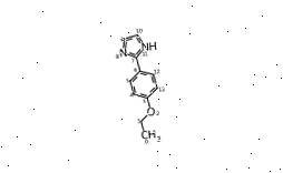 CCOc1ccc(-c2ncc[nH]2)cc1